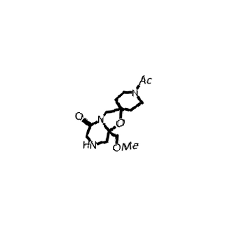 COCC12CNCC(=O)N1CC1(CCN(C(C)=O)CC1)O2